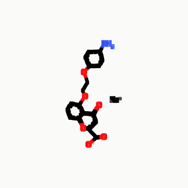 Nc1ccc(OCCOc2cccc3oc(C(=O)[O-])cc(=O)c23)cc1.[Na+]